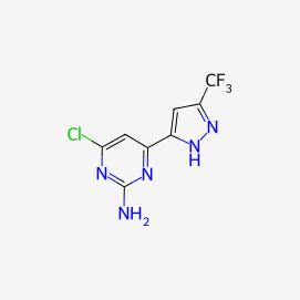 Nc1nc(Cl)cc(-c2cc(C(F)(F)F)n[nH]2)n1